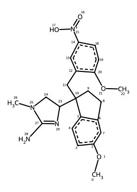 COc1ccc2c(c1)CCC2(Cc1cc([N+](=O)O)ccc1OC)C1CN(C)C(N)=N1